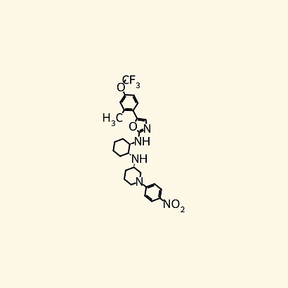 Cc1cc(OC(F)(F)F)ccc1-c1cnc(N[C@@H]2CCCC[C@H]2N[C@H]2CCCN(c3ccc([N+](=O)[O-])cc3)C2)o1